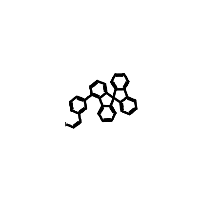 I/C=C\c1cccc(-c2cccc3c2-c2ccccc2C32c3ccccc3-c3ccccc32)c1